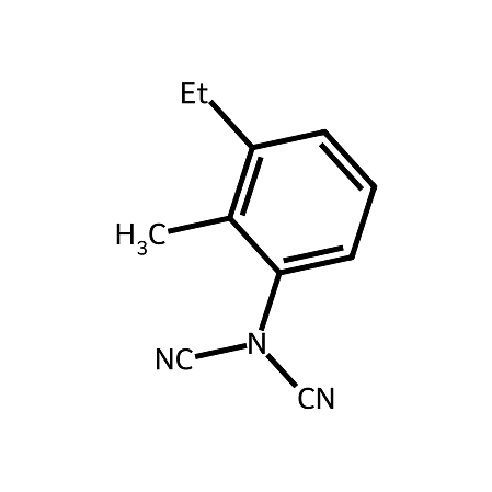 CCc1cccc(N(C#N)C#N)c1C